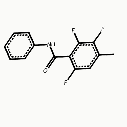 Cc1cc(F)c(C(=O)Nc2ccccc2)c(F)c1F